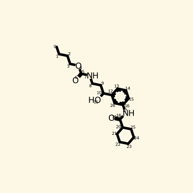 CCCCOC(=O)NCCC(O)c1cccc(NC(=O)C2CCCCC2)c1